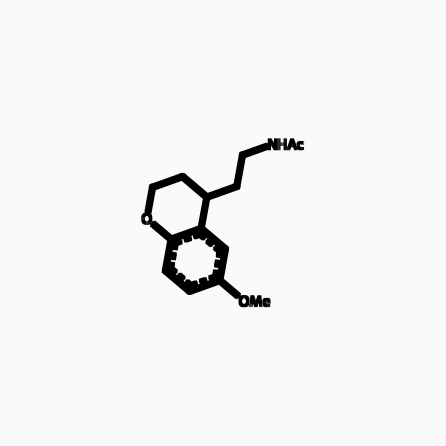 COc1ccc2c(c1)C(CCNC(C)=O)CCO2